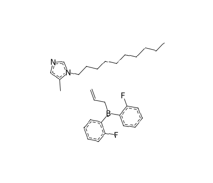 C=CCB(c1ccccc1F)c1ccccc1F.CCCCCCCCCCn1cncc1C